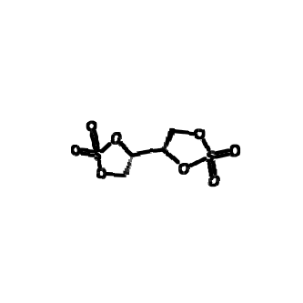 O=S1(=O)OC[C@@H]([C@H]2COS(=O)(=O)O2)O1